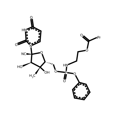 CC(C)C(=O)OCCNP(=O)(OC[C@H]1O[C@@](C#N)(n2ccc(=O)[nH]c2=O)[C@H](O)[C@@]1(C)O)Oc1ccccc1